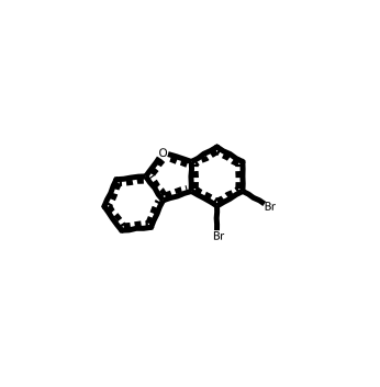 Brc1ccc2oc3ccccc3c2c1Br